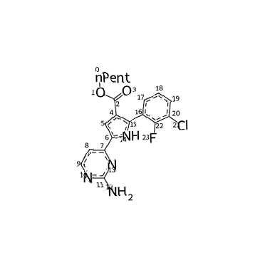 CCCCCOC(=O)c1cc(-c2ccnc(N)n2)[nH]c1-c1cccc(Cl)c1F